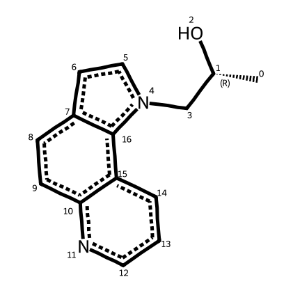 C[C@@H](O)Cn1ccc2ccc3ncccc3c21